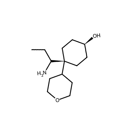 CCC(N)[C@]1(C2CCOCC2)CC[C@H](O)CC1